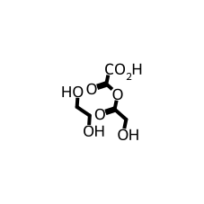 O=C(CO)OC(=O)C(=O)O.OCCO